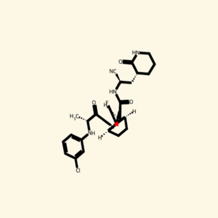 C[C@@H](Nc1cccc(Cl)c1)C(=O)N1[C@@H]2CC[C@H]([C@@H]1C(=O)N[C@@H](C#N)C[C@H]1CCCNC1=O)C(F)(F)C2